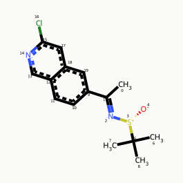 C/C(=N\[S@+]([O-])C(C)(C)C)c1ccc2cnc(Cl)cc2c1